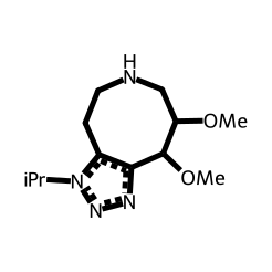 COC1CNCCc2c(nnn2C(C)C)C1OC